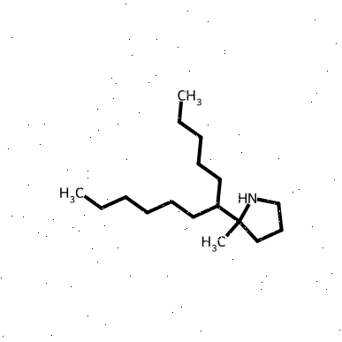 CCCCCCC(CCCCC)C1(C)CCCN1